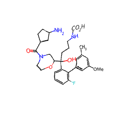 COc1cc(C)cc(-c2c(F)cccc2C(O)(CCCNC(=O)O)C2CN(C(=O)C3CCC(N)C3)CCO2)c1